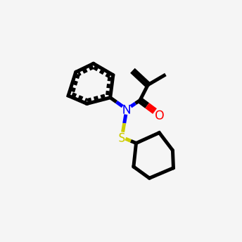 C=C(C)C(=O)N(SC1CCCCC1)c1ccccc1